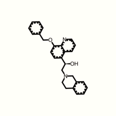 O[C@@H](CN1CCc2ccccc2C1)c1ccc(OCc2ccccc2)c2ncccc12